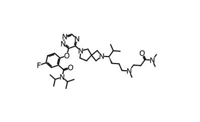 CC(C)[C@@H](CCCN(C)CCC(=O)N(C)C)N1CC2(CCN(c3ncnnc3Oc3ccc(F)cc3C(=O)N(C(C)C)C(C)C)C2)C1